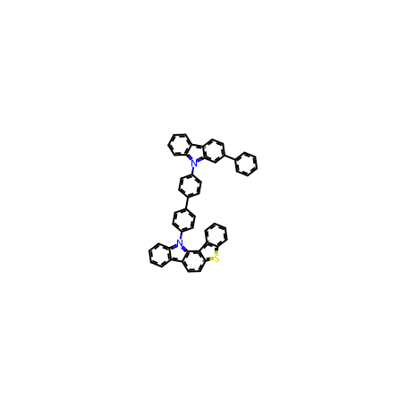 c1ccc(-c2ccc3c4ccccc4n(-c4ccc(-c5ccc(-n6c7ccccc7c7ccc8sc9ccccc9c8c76)cc5)cc4)c3c2)cc1